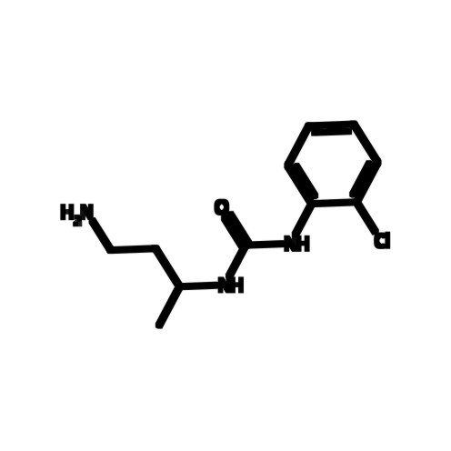 CC(CCN)NC(=O)Nc1ccccc1Cl